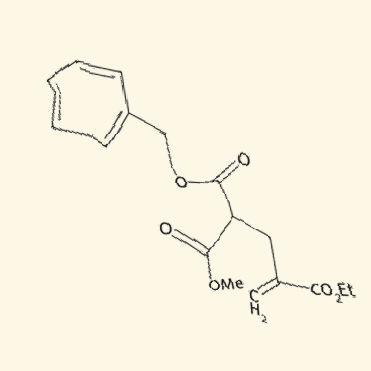 C=C(CC(C(=O)OC)C(=O)OCc1ccccc1)C(=O)OCC